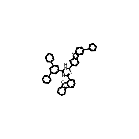 c1ccc(-c2cc(C3=NC(c4cccc5c4oc4ccccc45)=NC(c4ccc5c(c4)sc4ccc(-c6ccccc6)cc45)N3)cc(-c3ccccc3)c2)cc1